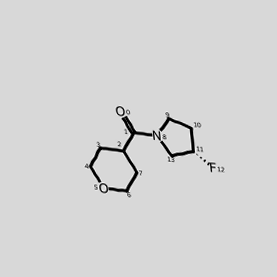 O=C(C1CCOCC1)N1CC[C@H](F)C1